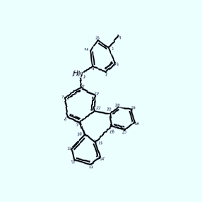 Cc1ccc(Nc2ccc3c4ccccc4c4ccccc4c3c2)cc1